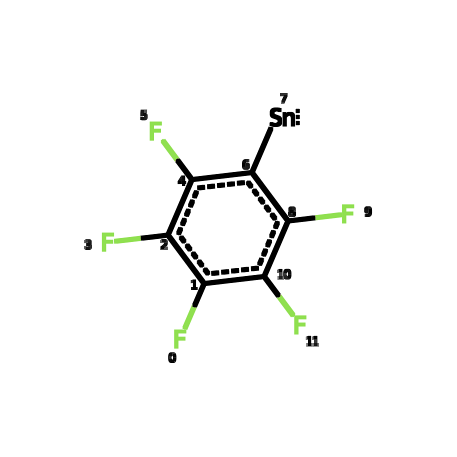 Fc1c(F)c(F)[c]([Sn])c(F)c1F